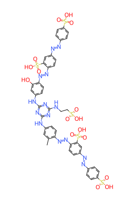 Cc1cc(Nc2nc(NCCS(=O)(=O)O)nc(Nc3ccc(N=Nc4ccc(N=Nc5ccc(S(=O)(=O)O)cc5)cc4S(=O)(=O)O)c(O)c3)n2)ccc1N=Nc1ccc(N=Nc2ccc(S(=O)(=O)O)cc2)cc1S(=O)(=O)O